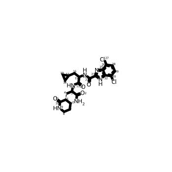 NC(=O)C(C[C@@H]1CCCNC1=O)NC(=O)C(CC1CC1)NC(=O)c1nc2c(Cl)ccc(Cl)c2[nH]1